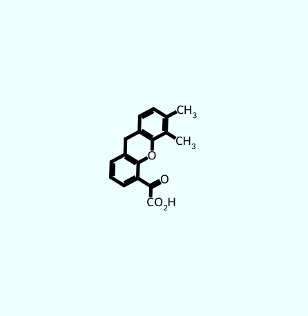 Cc1ccc2c(c1C)Oc1c(cccc1C(=O)C(=O)O)C2